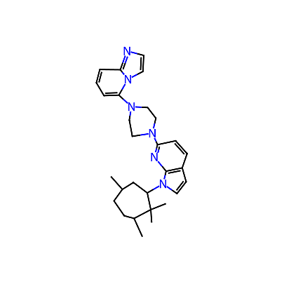 CC1CCC(C)C(C)(C)C(n2ccc3ccc(N4CCN(c5cccc6nccn56)CC4)nc32)C1